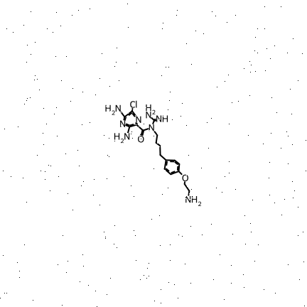 N=C(N)N(CCCCc1ccc(OCCN)cc1)C(=O)c1nc(Cl)c(N)nc1N